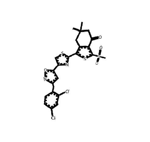 CC1(C)CC(=O)c2c(S(C)(=O)=O)sc(-c3nc(-c4cc(-c5ccc(Cl)cc5Cl)no4)cs3)c2C1